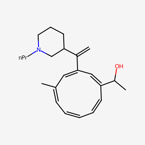 C=C(c1cc(C)cccccc(C(C)O)c1)C1CCCN(CCC)C1